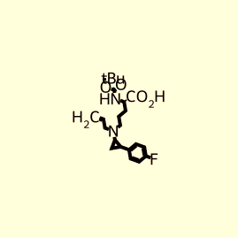 C=CCN(CCC[C@H](NC(=O)OC(C)(C)C)C(=O)O)C1CC1c1ccc(F)cc1